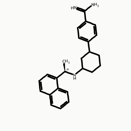 C[C@@H](NC1CCCC(c2ccc(C(=N)N)cc2)C1)c1cccc2ccccc12